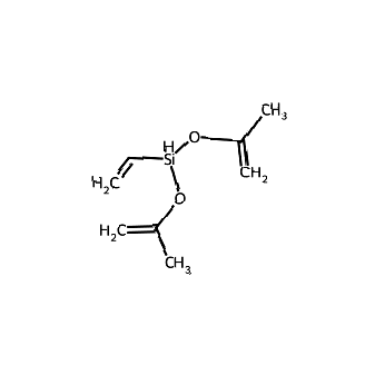 C=C[SiH](OC(=C)C)OC(=C)C